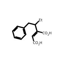 CCC(Cc1ccccc1)C(=CC(=O)O)C(=O)O